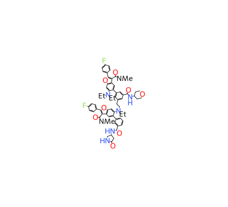 CCN(CC)c1cc2oc(-c3ccc(F)cc3)c(C(=O)NC)c2cc1-c1cc(CCN(CC)c2cc3oc(-c4ccc(F)cc4)c(C(=O)NC)c3cc2-c2cccc(C(=O)NC3CNC(=O)C3)c2)cc(C(=O)NC2CCOCC2)c1